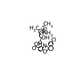 CCC[C@@H]([C@H](C)C/C=C/[C@H](O)[C@@H]1CC[C@H]1CN1C[C@@]2(CCCc3cc(Cl)ccc32)COc2ccc(C(=O)O)cc21)S(N)(=O)=O